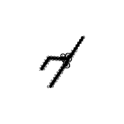 CCCCCC/C=C/CCCCCCCC(=O)OC(COC(=O)CCCCCCC/C=C\CCCCCCCC)COC(=O)CCCCCCCCCCCCCCCCC